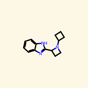 c1ccc2[nH]c(C3CCN3C3CCC3)nc2c1